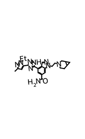 CCn1nc(C)cc1-c1n[nH]c(-c2cc(C(N)=O)cc3c2cnn3CCN2CCC3CC3C2)n1